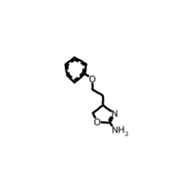 NC1=NC(CCOc2ccccc2)CO1